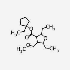 CCC1OC(CC)C(C(=O)OC2(CC)CCCC2)C1COC